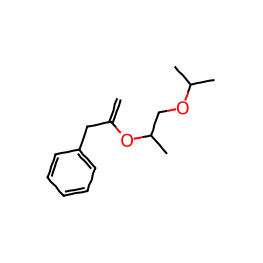 C=C(Cc1ccccc1)OC(C)COC(C)C